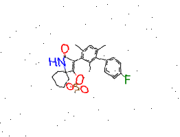 Cc1cc(C)c(-c2ccc(F)cc2)c(C)c1C1=C(OS(C)(=O)=O)C2(CCCCC2)NC1=O